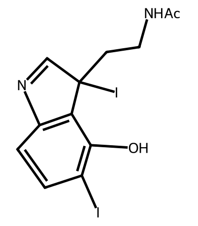 CC(=O)NCCC1(I)C=Nc2ccc(I)c(O)c21